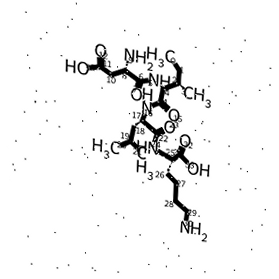 CC[C@H](C)[C@H](NC(=O)[C@@H](N)CC(=O)O)C(=O)N[C@@H](CC(C)C)C(=O)N[C@@H](CCCCN)C(=O)O